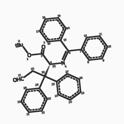 CC(C)(C)OC(=O)[C@H](N=C(c1ccccc1)c1ccccc1)C(CC=O)(c1ccccc1)c1ccccc1